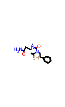 C=C(S)N(CCc1ccccc1)C(=O)N(C)CCC(N)=O